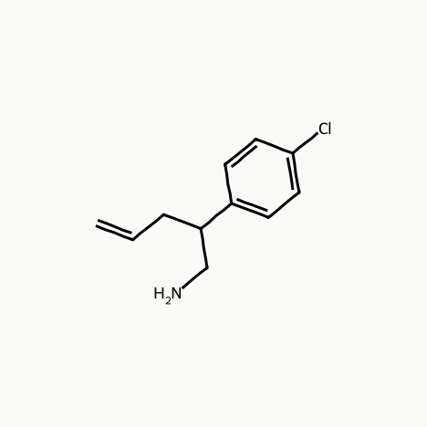 C=CCC(CN)c1ccc(Cl)cc1